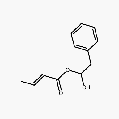 C/C=C/C(=O)OC(O)Cc1ccccc1